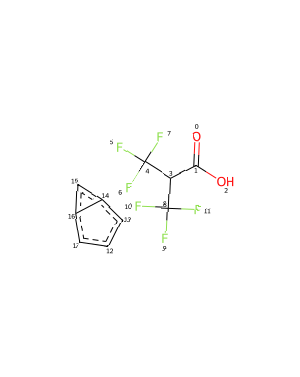 O=C(O)C(C(F)(F)F)C(F)(F)F.c1cc2cc-2c1